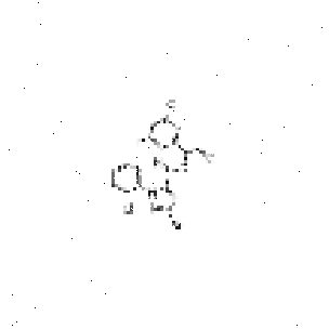 O=CC1OC(c2cc(Br)nn2-c2ncccc2Cl)=Nc2c(I)cc(Cl)cc21